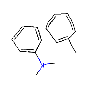 CN(C)c1ccccc1.[CH2]c1ccccc1